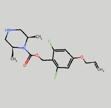 C=CCOc1cc(F)c(COC(=O)N2[C@H](C)CNC[C@@H]2C)c(F)c1